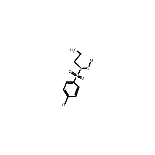 CCCN(SCl)S(=O)(=O)c1ccc(Cl)cc1